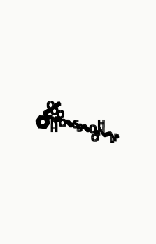 CC1OC(CC2(CNC(=O)OCCSSCCOC(=O)NCCN(C)C)CCCCC2)O1